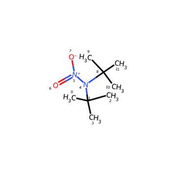 CC(C)(C)N([N+](=O)[O-])C(C)(C)C